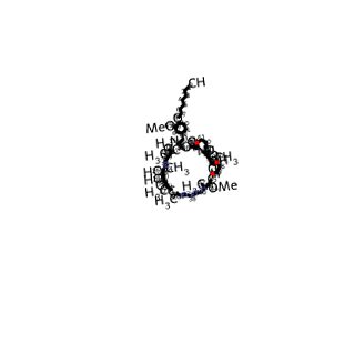 C#CCCCCCCO[C@@H]1CC[C@@H](C[C@@H](N)[C@@H]2CC(=O)[C@H](C)/C=C(\C)[C@@H](O)[C@@H](O)C(=O)[C@H](C)C[C@H](C)/C=C/C=C/C=C(\C)[C@@H](OC)C[C@@H]3CC[C@@H](C)[C@@](O)(O3)C(=O)C(=O)N3CCCC[C@H]3C(=O)O2)C[C@H]1OC